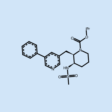 CC(C)OC(=O)N1CCC[C@@H](NS(C)(=O)=O)[C@H]1Cc1cncc(-c2ccccc2)c1